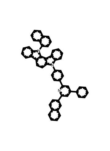 c1ccc(-c2cc(-c3ccc(-n4c5ccccc5c5c4ccc4c6ccccc6n(-c6cccc7ccccc67)c45)cc3)nc(-c3ccc4ccccc4c3)c2)cc1